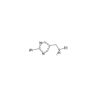 CC[SH](C)Cc1cnc(C(C)C)nc1